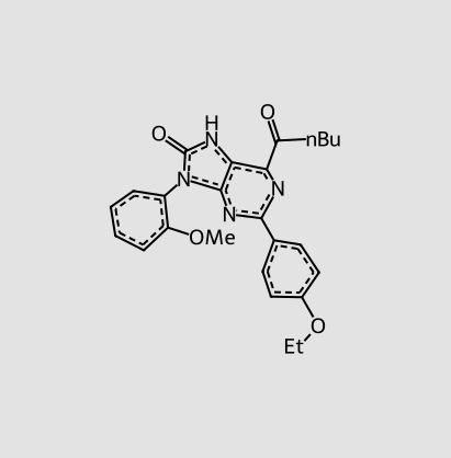 CCCCC(=O)c1nc(-c2ccc(OCC)cc2)nc2c1[nH]c(=O)n2-c1ccccc1OC